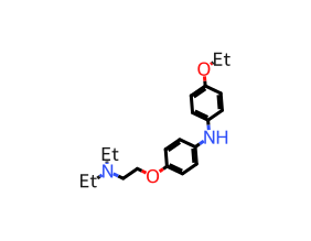 CCOc1ccc(Nc2ccc(OCCN(CC)CC)cc2)cc1